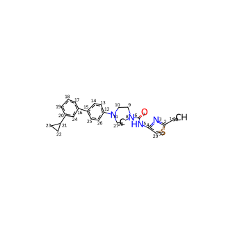 C#Cc1nc(NC(=O)N2CCN(c3ccc(-c4cccc(C5CC5)c4)cc3)CC2)cs1